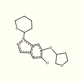 Clc1cc2cnn(C3CCCCO3)c2cc1OC1CCOC1